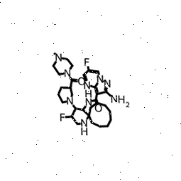 CN1CCN(C(=O)C2CCCN(C3C(F)CNC4(CCCCCCCC4)C3NC(=O)c3c(N)nn4cc(F)cnc34)C2)CC1